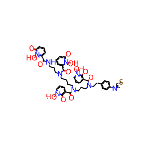 O=C(NCCCN(CCCCN(CCCN(CCc1ccc(N=C=S)cc1)C(=O)c1cccn(O)c1=O)C(=O)c1cccn(O)c1=O)C(=O)c1cccc(=O)n1O)c1cccc(=O)n1O